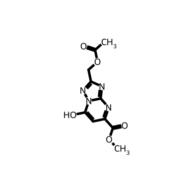 COC(=O)c1cc(O)n2nc(COC(C)=O)nc2n1